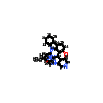 CN1C=CN2c3cncc4c3C3(c5c(ccc6c7ccccc7n(c56)-c5cc(C(C)(C)C)cc[n+]53)O4)C12